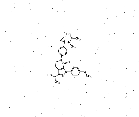 COc1ccc(-n2nc(C(C)O)c3c2C(=O)N(c2ccc(C4(N(C)B(C)O)CC4)cc2)CC3)cc1